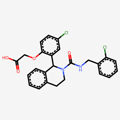 O=C(O)COc1ccc(Cl)cc1C1c2ccccc2CCN1C(=O)NCc1ccccc1Cl